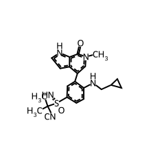 Cn1cc(-c2cc(S(=N)(=O)C(C)(C)C#N)ccc2NCC2CC2)c2cc[nH]c2c1=O